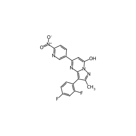 Cc1nn2c(O)cc(-c3ccc([N+](=O)[O-])nc3)nc2c1-c1ccc(F)cc1F